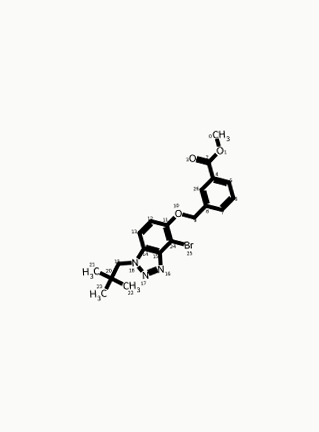 COC(=O)c1cccc(COc2ccc3c(nnn3CC(C)(C)C)c2Br)c1